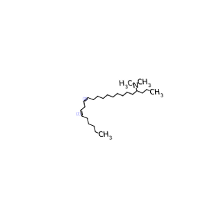 CCCCC/C=C\C/C=C\CCCCCCCCCC(CCC)N(C)C